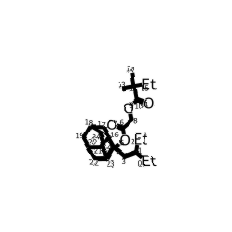 CCC(CC)CC1(OC(=O)COC(=O)C(C)(C)CC)C2CC3CC(C2)CC1C3